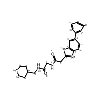 O=C(CNC(=O)Cc1nc2ccc(-c3ccccc3)cc2s1)NCC1CCOCC1